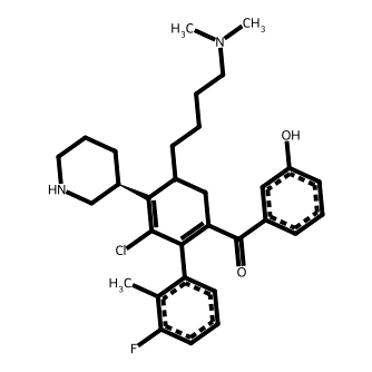 Cc1c(F)cccc1C1=C(C(=O)c2cccc(O)c2)C[C](CCCCN(C)C)C([C@@H]2CCCNC2)=C1Cl